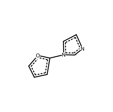 [c]1nccn1-c1ccco1